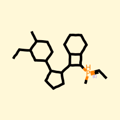 C/C=[PH](\C)C1C2CCCCC2C1C1CCCC1C1CCC(C)C(CC)C1